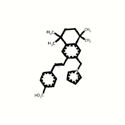 CC1(C)CCC(C)(C)c2cc(Cn3cccc3)c(/C=C/c3ccc(C(=O)O)cc3)cc21